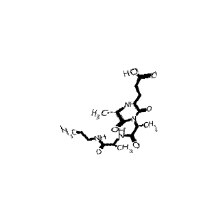 CCCNC(=O)[C@H](C)NC(=O)[C@H](C)N(C(=O)CCCC(=O)O)C(=O)[C@H](C)N